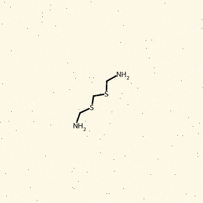 NCSCSCN